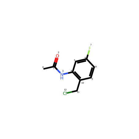 CC(=O)Nc1cc(F)ccc1CCl